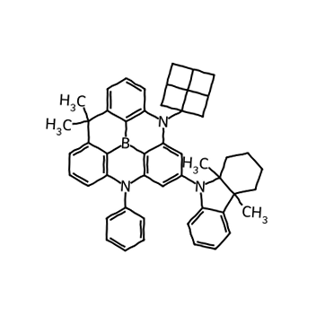 CC1(C)c2cccc3c2B2c4c(cc(N5c6ccccc6C6(C)CCCCC56C)cc4N(C45CC6CC7CC(C4)C765)c4cccc1c42)N3c1ccccc1